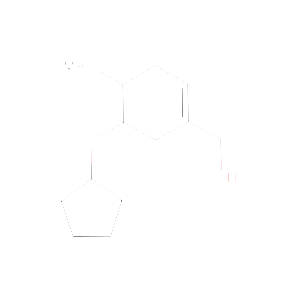 COC1CC=C(CO)CC1OC1CCCC1